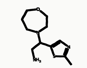 Cc1ncc(C(CN)N2CCCOCC2)s1